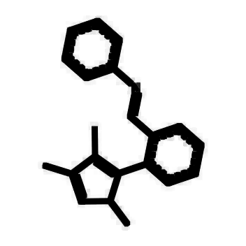 CC1=CC(C)C(c2ccccc2C=Nc2ccccc2)=C1C